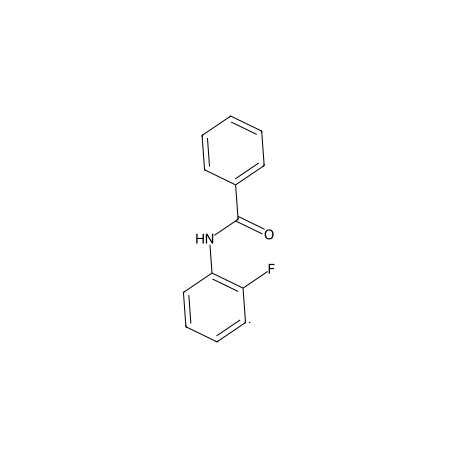 O=C(Nc1ccc[c]c1F)c1ccccc1